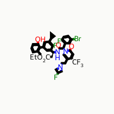 CCOC(=O)C[C@H](NC(=O)C(c1cc(Br)ccc1F)n1cc(CCN2CC(F)C2)c(C(F)(F)F)cc1=O)c1cc(-c2c(C)cccc2O)cc(C2CC2)c1F